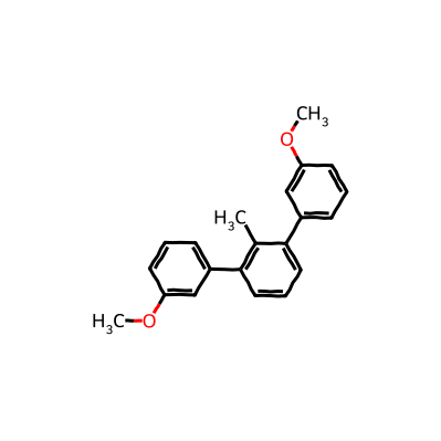 COc1cccc(-c2cccc(-c3cccc(OC)c3)c2C)c1